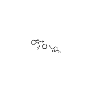 CC1(C)c2cc(OC[C@H]3CCC(=O)N3)ccc2C(=O)c2c1oc1ccccc21